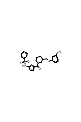 N#Cc1cccc(OCC2CCCN(C(=O)c3csc(NS(=O)(=O)c4ccccc4)n3)C2)c1